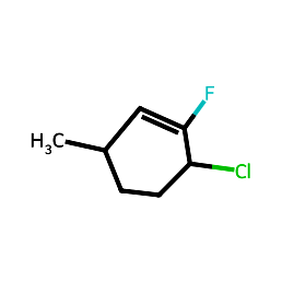 CC1C=C(F)C(Cl)CC1